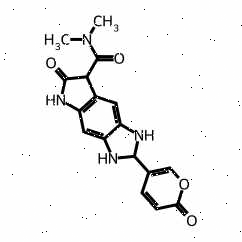 CN(C)C(=O)C1C(=O)Nc2cc3c(cc21)NC(c1ccc(=O)oc1)N3